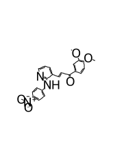 COc1ccc(C(=O)/C=C/c2cccnc2Nc2ccc([N+](=O)[O-])cc2)cc1OC